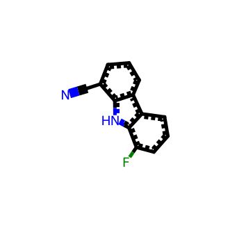 N#Cc1cccc2c1[nH]c1c(F)cccc12